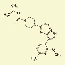 COc1nc(C)ccc1-c1cnn2ccc(N3CCN(C(=O)OC(C)C)CC3)nc12